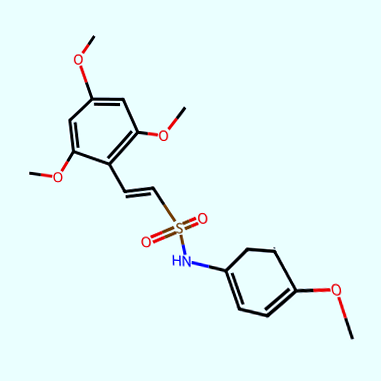 COC1=CC=C(NS(=O)(=O)/C=C/c2c(OC)cc(OC)cc2OC)C[CH]1